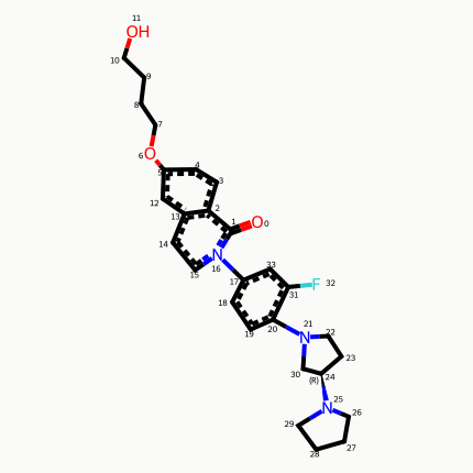 O=c1c2ccc(OCCCCO)cc2ccn1-c1ccc(N2CC[C@@H](N3CCCC3)C2)c(F)c1